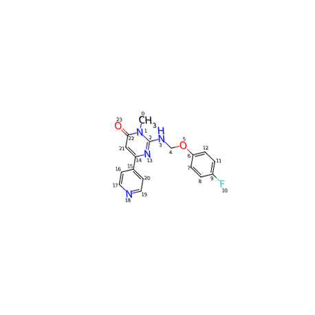 Cn1c(NCOc2ccc(F)cc2)nc(-c2ccncc2)cc1=O